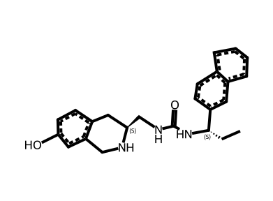 CC[C@H](NC(=O)NC[C@@H]1Cc2ccc(O)cc2CN1)c1ccc2ccccc2c1